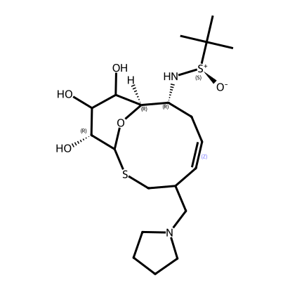 CC(C)(C)[S@@+]([O-])N[C@@H]1C/C=C\C(CN2CCCC2)CSC2O[C@H]1C(O)C(O)[C@H]2O